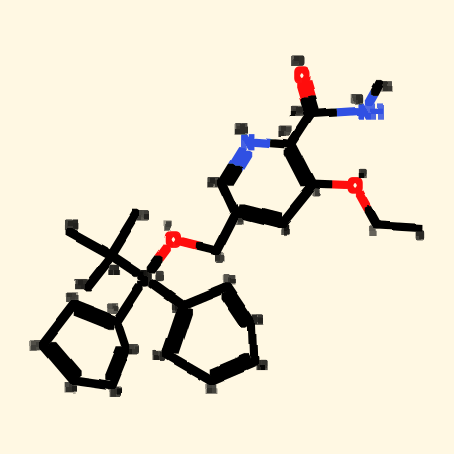 CCOc1cc(CO[Si](c2ccccc2)(c2ccccc2)C(C)(C)C)cnc1C(=O)NC